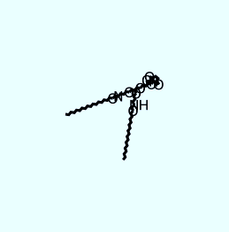 CCCCCCCCCCCCCCCCCO/C=N/CCCOCC(COCCC(=O)ON1C(=O)CCC1=O)OCCCNCOCCCCCCCCCCCCCCCCC